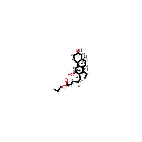 CCCOC(=O)CC[C@@H](C)[C@H]1CC[C@H]2[C@@H]3CC[C@@H]4C[C@H](O)CC[C@]4(C)[C@H]3C[C@H](O)[C@]12C